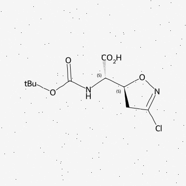 CC(C)(C)OC(=O)N[C@H](C(=O)O)[C@@H]1CC(Cl)=NO1